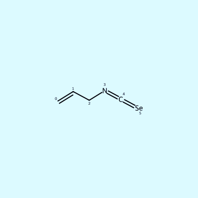 C=CCN=C=[Se]